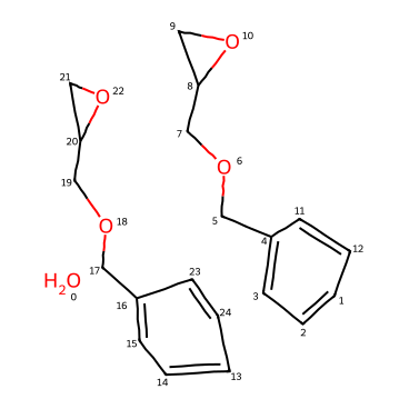 O.c1ccc(COCC2CO2)cc1.c1ccc(COCC2CO2)cc1